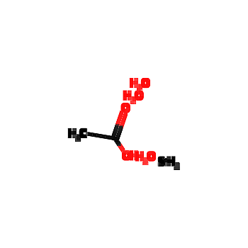 CC(=O)O.O.O.O.[SrH2]